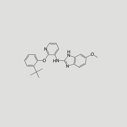 COc1ccc2nc(Nc3cccnc3Oc3ccccc3C(C)(C)C)[nH]c2c1